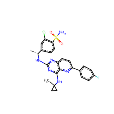 C[C@@H](Nc1nc(NC2(C(F)(F)F)CC2)c2nc(-c3ccc(F)cc3)ccc2n1)c1ccc(S(N)(=O)=O)c(Cl)c1